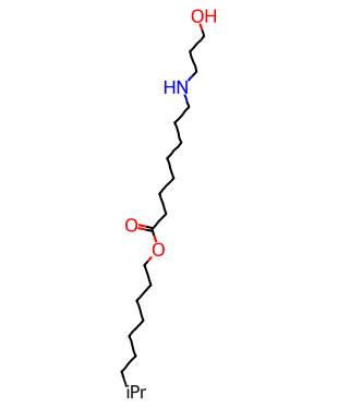 CC(C)CCCCCCCOC(=O)CCCCCCCNCCCO